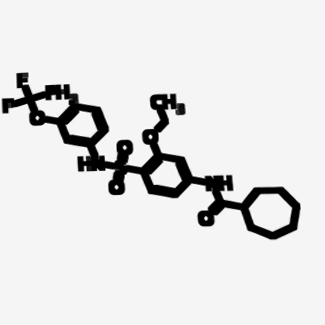 CCOc1cc(NC(=O)C2CCCCCC2)ccc1S(=O)(=O)Nc1cccc(OC(F)(F)P)c1